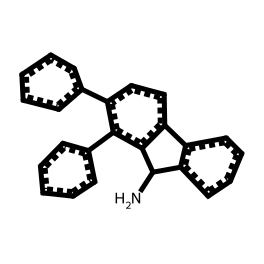 NC1c2ccccc2-c2ccc(-c3ccccc3)c(-c3ccccc3)c21